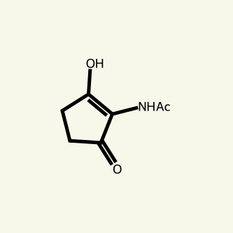 CC(=O)NC1=C(O)CCC1=O